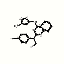 Cc1cc(Nc2nc(C(CO)c3ccc(F)cc3)nc3ccccc23)n[nH]1